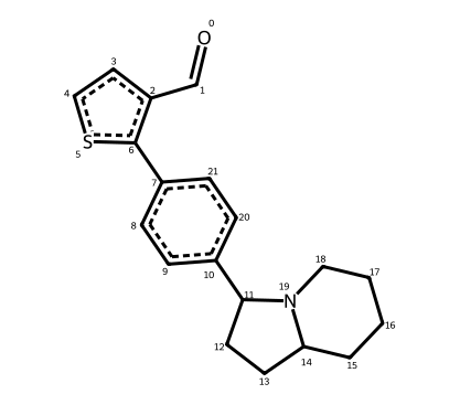 O=Cc1ccsc1-c1ccc(C2CCC3CCCCN32)cc1